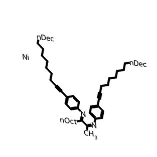 CCCCCCCCCCCCCCCCCC#Cc1ccc(N=C(C)C(CCCCCCCC)=Nc2ccc(C#CCCCCCCCCCCCCCCCCC)cc2)cc1.[Ni]